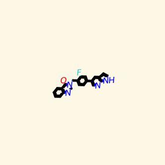 O=c1c2ccccc2ncn1Cc1ccc(-c2cnc3[nH]ccc3c2)cc1F